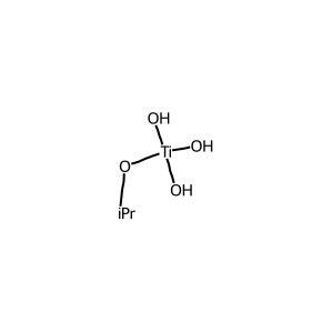 CC(C)[O][Ti]([OH])([OH])[OH]